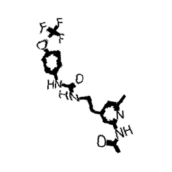 CC(=O)Nc1cc(CCNC(=O)Nc2ccc(OC(F)(F)F)cc2)cc(C)n1